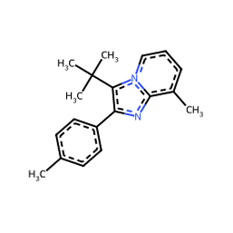 Cc1ccc(-c2nc3c(C)cccn3c2C(C)(C)C)cc1